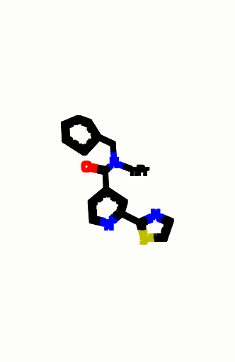 CCCN(Cc1ccccc1)C(=O)c1ccnc(-c2nccs2)c1